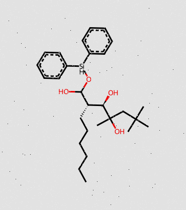 CCCCCC[C@H](C(O)O[SiH](c1ccccc1)c1ccccc1)[C@@H](O)C(C)(O)CC(C)(C)C